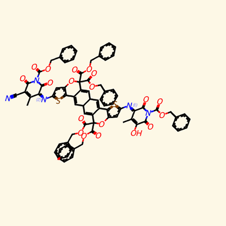 CC1=C(C#N)C(=O)N(C(=O)OCc2ccccc2)C(=O)/C1=N\c1cc2c(s1)C1=CC3C=C4C(=CC3C=C1C(C(=O)OCc1ccccc1)(C(=O)OCc1ccccc1)O2)c1sc(/N=C2/C(=O)N(C(=O)OCc3ccccc3)C(=O)C(O)=C2C)cc1OC4(C(=O)OCc1ccccc1)C(=O)OCc1ccccc1